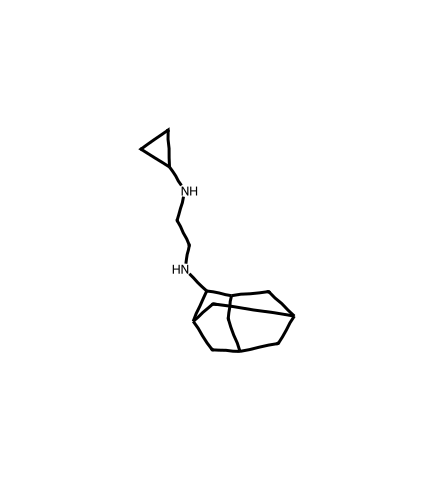 C(CNC1C2CC3CC(C2)CC1C3)NC1CC1